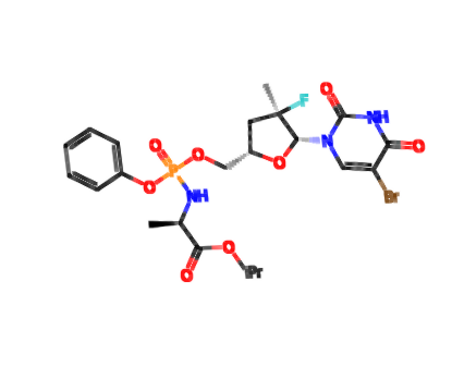 CC(C)OC(=O)[C@@H](C)NP(=O)(OC[C@@H]1C[C@@](C)(F)[C@H](n2cc(Br)c(=O)[nH]c2=O)O1)Oc1ccccc1